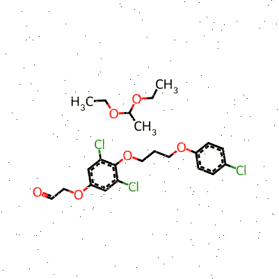 CCOC(C)OCC.O=CCOc1cc(Cl)c(OCCCOc2ccc(Cl)cc2)c(Cl)c1